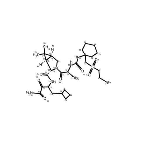 CC(C)CCS(=O)(=O)CC1(NC(=O)N[C@H](C(=O)N2C[C@H]3[C@@H]([C@H]2C(=O)NC(CC2CCC2)C(=O)C(N)=O)C3(C)C)C(C)(C)C)CCCCC1